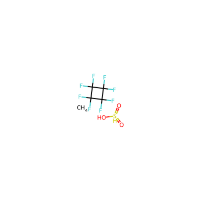 C.FC1(F)C(F)(F)C(F)(F)C1(F)F.O=[SH](=O)O